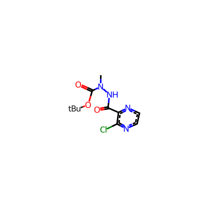 CN(NC(=O)c1nccnc1Cl)C(=O)OC(C)(C)C